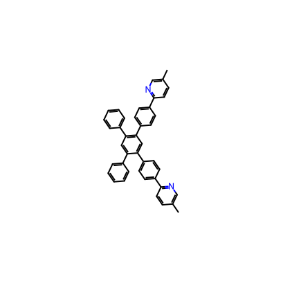 Cc1ccc(-c2ccc(-c3cc(-c4ccc(-c5ccc(C)cn5)cc4)c(-c4ccccc4)cc3-c3ccccc3)cc2)nc1